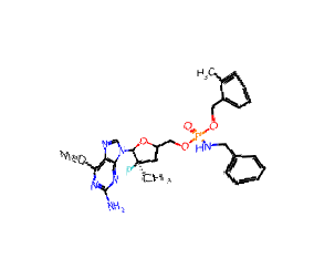 COc1nc(N)nc2c1ncn2C1OC(COP(=O)(NCc2ccccc2)OCc2ccccc2C)C[C@@]1(C)F